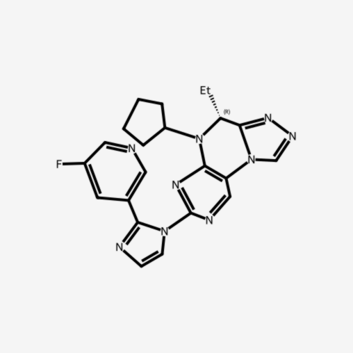 CC[C@@H]1c2nncn2-c2cnc(-n3ccnc3-c3cncc(F)c3)nc2N1C1CCCC1